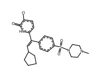 CN1CCN(S(=O)(=O)c2ccc(/C(=C\C3CCCC3)c3ccc(Cl)c(=O)[nH]3)cc2)CC1